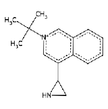 CC(C)(C)[n+]1cc(C2CN2)c2ccccc2c1